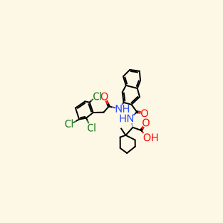 CC1([C@H](NC(=O)c2cc3ccccc3cc2NC(=O)Cc2c(Cl)ccc(Cl)c2Cl)C(=O)O)CCCCC1